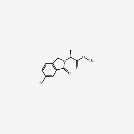 C[C@@H](C(=O)OC(C)(C)C)N1Cc2ccc(Br)cc2C1=O